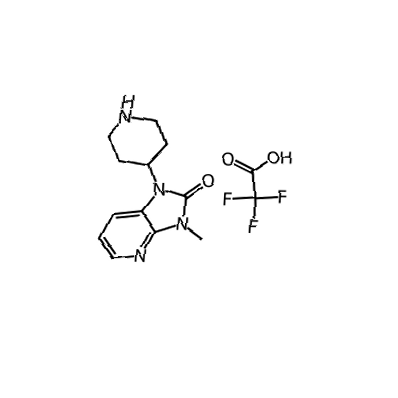 Cn1c(=O)n(C2CCNCC2)c2cccnc21.O=C(O)C(F)(F)F